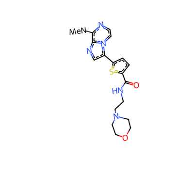 CNc1nccn2c(-c3ccc(C(=O)NCCN4CCOCC4)s3)cnc12